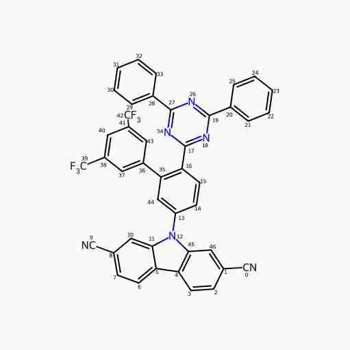 N#Cc1ccc2c3ccc(C#N)cc3n(-c3ccc(-c4nc(-c5ccccc5)nc(-c5ccccc5)n4)c(-c4cc(C(F)(F)F)cc(C(F)(F)F)c4)c3)c2c1